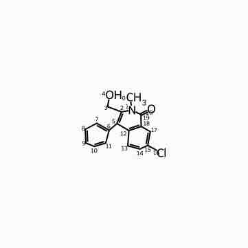 Cn1c(CO)c(-c2ccccc2)c2ccc(Cl)cc2c1=O